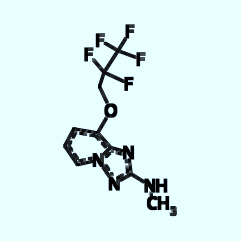 CNc1nc2c(OCC(F)(F)C(F)(F)F)cccn2n1